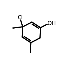 CC1=CC(C)(Cl)C=C(O)C1